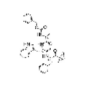 C=C(N[C@@H](Cc1ccccc1)C(=O)[C@@]1(C)CO1)[C@H](Cc1c[nH]c2ccccc12)NC(=O)[C@H](C)NC(=O)OCc1ccccc1